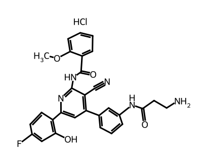 COc1ccccc1C(=O)Nc1nc(-c2ccc(F)cc2O)cc(-c2cccc(NC(=O)CCN)c2)c1C#N.Cl